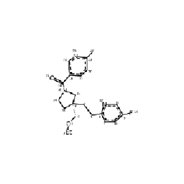 CCOC[C@]1(CCc2ccc(F)cn2)CCN(C(=O)c2ccc(C)nc2)C1